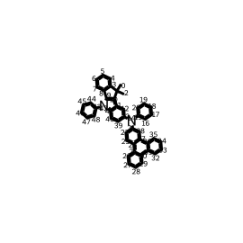 CC1(C)c2ccccc2-c2c1c1cc(N(c3ccccc3)c3ccc4c5ccccc5c5ccccc5c4c3)ccc1n2-c1ccccc1